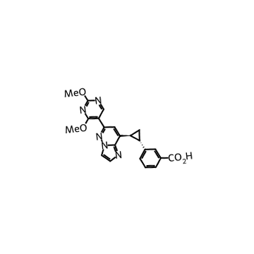 COc1ncc(-c2cc([C@H]3C[C@@H]3c3cccc(C(=O)O)c3)c3nccn3n2)c(OC)n1